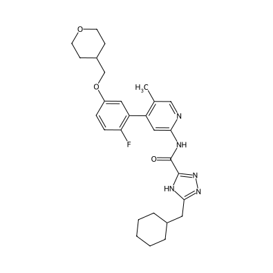 Cc1cnc(NC(=O)c2nnc(CC3CCCCC3)[nH]2)cc1-c1cc(OCC2CCOCC2)ccc1F